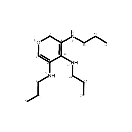 CCCNC1=CO[CH]C(NCCC)=C1NCCC